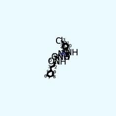 O=C(C=Cc1ccccc1)NC(=O)N/N=C1\C(=O)Nc2ccc(Cl)cc21